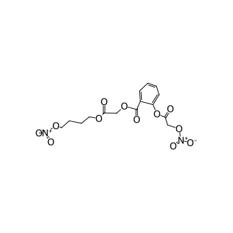 O=C(COC(=O)c1ccccc1OC(=O)CO[N+](=O)[O-])OCCCCO[N+](=O)[O-]